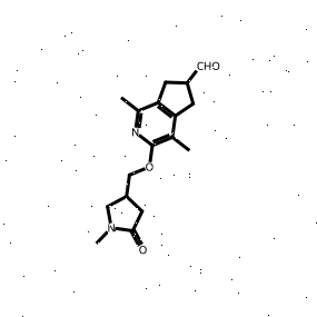 Cc1nc(OCC2CC(=O)N(C)C2)c(C)c2c1CC(C=O)C2